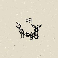 CCOc1ccc(C2=NN(c3ccc(C(=O)N4CCN(C5CCN(C)CC5)CC4)cc3)C(=O)[C@@H]3CC=CC[C@H]23)cc1OCC.Cl.Cl